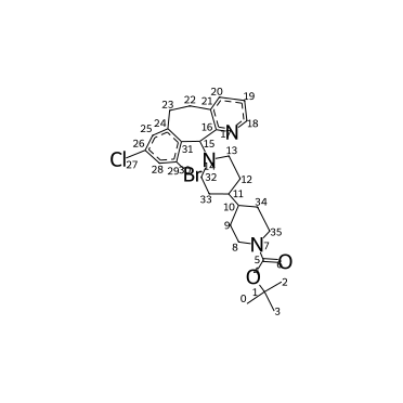 CC(C)(C)OC(=O)N1CCC(C2CCN(C3c4ncccc4CCc4cc(Cl)cc(Br)c43)CC2)CC1